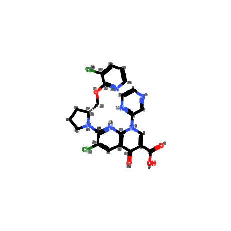 O=C(O)c1cn(-c2cnccn2)c2nc(N3CCC[C@@H]3COc3ncccc3Cl)c(Cl)cc2c1=O